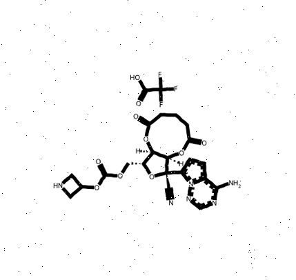 N#C[C@@]1(c2ccc3c(N)ncnn23)O[C@H](COC(=O)OC2CNC2)[C@H]2OC(=O)CCCC(=O)O[C@H]21.O=C(O)C(F)(F)F